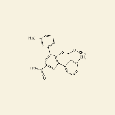 COCOc1c(-c2cccc(C)c2)cc(C(=O)O)cc1-c1cccc(C)c1